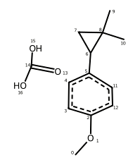 COc1ccc(C2CC2(C)C)cc1.O=C(O)O